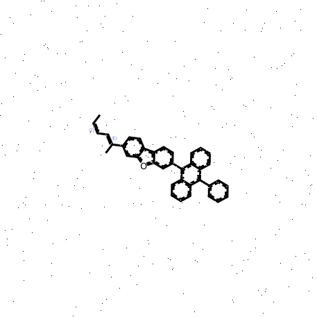 C/C=C\C=C(/C)c1ccc2c(c1)oc1cc(-c3c4ccccc4c(-c4ccccc4)c4ccccc34)ccc12